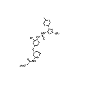 COCC(=O)Nc1cc(Oc2ccc(NC(=O)Nc3cc(C(C)(C)C)nn3-c3ccc(C)cc3)c(Br)c2)ccn1